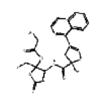 CC(C)CC(=O)OC1(CF)OC(=O)CC1NC(=O)[C@]1(C(C)C)CC(c2nccc3ccccc23)=NO1